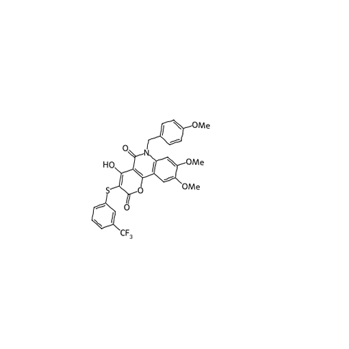 COc1ccc(Cn2c(=O)c3c(O)c(Sc4cccc(C(F)(F)F)c4)c(=O)oc3c3cc(OC)c(OC)cc32)cc1